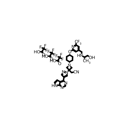 C[C@H](CO)NCc1cc(O[C@H]2CC[C@@H](N3CC(CC#N)(n4cc(-c5ncnc6[nH]ccc56)cn4)C3)CC2)nc(C(F)(F)F)c1.O=C(O)C(F)(F)F.O=C(O)C(F)(F)F.O=C(O)C(F)(F)F